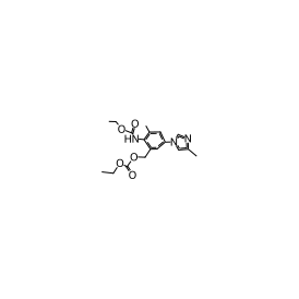 CCOC(=O)Nc1c(C)cc(-n2cnc(C)c2)cc1COC(=O)OCC